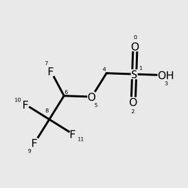 O=S(=O)(O)COC(F)C(F)(F)F